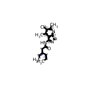 C/C=C\C(=C/C)CC(=O)Nc1noc2nc(C)c(Cl)c(C)c12